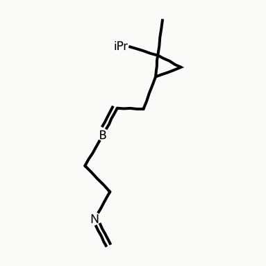 C=NCC/B=C/CC1CC1(C)C(C)C